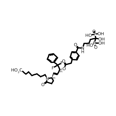 O=C(O)CCCCCCN1C(=O)CC[C@@H]1C=C[C@@H](OC(=O)Cc1ccc(C(=O)NCCCC(O)(P(=O)(O)O)P(=O)(O)O)cc1)C(F)(F)c1ccccc1